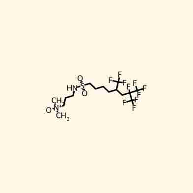 C[N+](C)([O-])CCCNS(=O)(=O)CCCCC(CC(F)(C(F)(F)F)C(F)(F)F)C(F)(F)F